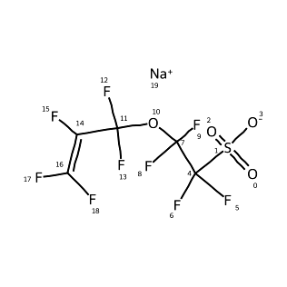 O=S(=O)([O-])C(F)(F)C(F)(F)OC(F)(F)C(F)=C(F)F.[Na+]